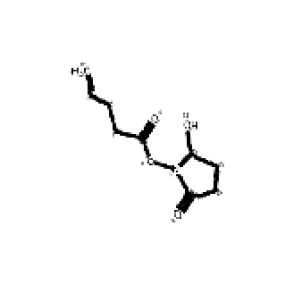 C=CCCC(=O)ON1C(=O)CCC1O